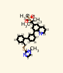 Cn1ccnc1SCc1ccccc1-c1cccc(-c2cc(C(C)(C)S(C)(=O)=O)cc3cccnc23)c1